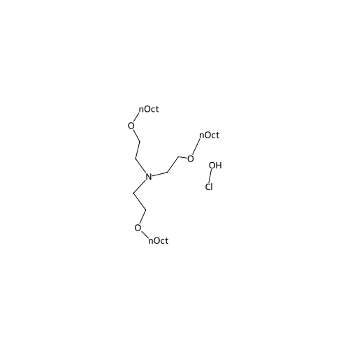 CCCCCCCCOCCN(CCOCCCCCCCC)CCOCCCCCCCC.OCl